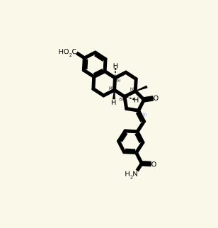 C[C@]12CC[C@@H]3c4ccc(C(=O)O)cc4CC[C@H]3[C@@H]1C/C(=C\c1cccc(C(N)=O)c1)C2=O